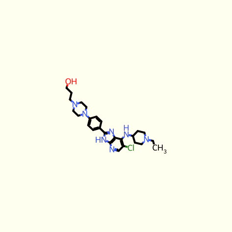 CCN1CCC(Nc2c(Cl)cnc3[nH]c(-c4ccc(N5CCN(CCCO)CC5)cc4)nc23)CC1